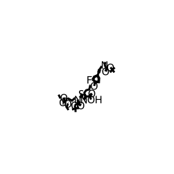 CCOP(=O)(CCCN(C(=O)OC(C)(C)C)c1nc(C(=O)O)c(CCCOc2ccc(C#CCN(C)C(=O)OC(C)(C)C)cc2F)s1)OCC